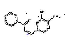 COc1ccc(/C=C\C(=O)c2ccccc2)cc1O